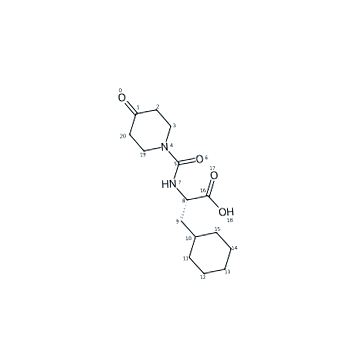 O=C1CCN(C(=O)N[C@@H](CC2CCCCC2)C(=O)O)CC1